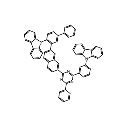 c1ccc(-c2ccc(-n3c4ccccc4c4ccccc43)c(-c3ccc4ccc(-c5nc(-c6ccccc6)nc(-c6cccc(-n7c8ccccc8c8ccccc87)c6)n5)cc4c3)c2)cc1